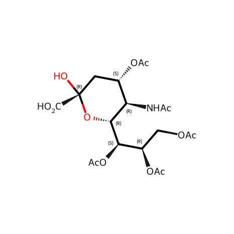 CC(=O)N[C@H]1[C@H]([C@H](OC(C)=O)[C@@H](COC(C)=O)OC(C)=O)O[C@@](O)(C(=O)O)C[C@@H]1OC(C)=O